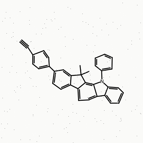 C#Cc1ccc(-c2ccc3c(c2)C(C)(C)c2c-3ccc3c4ccccc4n(-c4ccccc4)c23)cc1